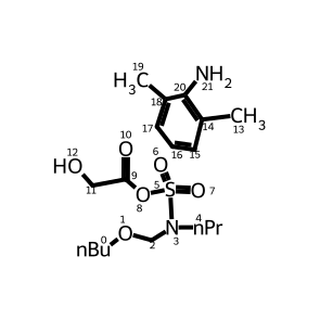 CCCCOCN(CCC)S(=O)(=O)OC(=O)CO.Cc1cccc(C)c1N